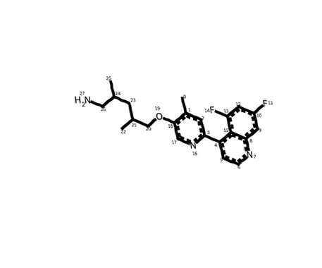 Cc1cc(-c2ccnc3cc(F)cc(F)c23)ncc1OCC(C)CC(C)CN